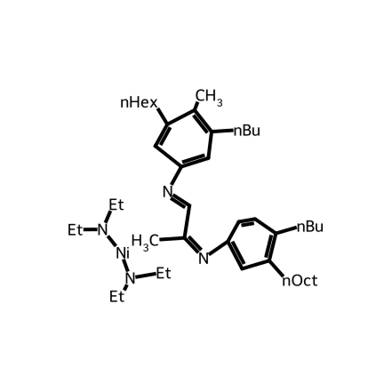 CCCCCCCCc1cc(N=C(C)C=Nc2cc(CCCC)c(C)c(CCCCCC)c2)ccc1CCCC.CC[N](CC)[Ni][N](CC)CC